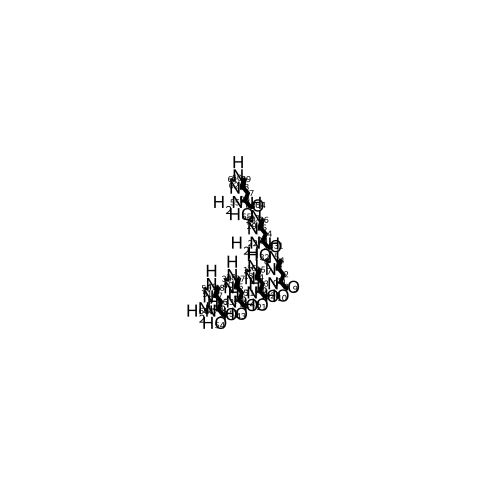 N[C@@H](Cc1c[nH]cn1)C(=O)O.N[C@@H](Cc1c[nH]cn1)C(=O)O.N[C@@H](Cc1c[nH]cn1)C(=O)O.N[C@@H](Cc1c[nH]cn1)C(=O)O.N[C@@H](Cc1c[nH]cn1)C(=O)O.N[C@@H](Cc1c[nH]cn1)C(=O)O.[Ni]